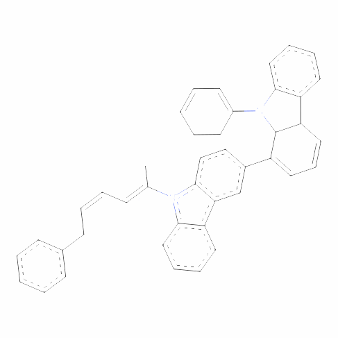 CC/C(=C\C=C/Cc1ccccc1)n1c2ccccc2c2cc(C3=CC=CC4c5ccccc5N(C5=CC=CCC5)C34)ccc21